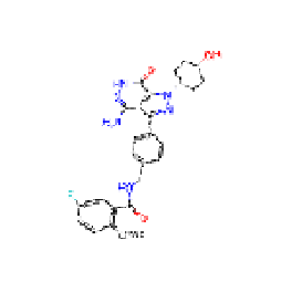 COc1ccc(F)cc1C(=O)NCc1ccc(-c2nn([C@H]3CC[C@@H](O)CC3)c3c(=O)[nH]nc(N)c23)cc1